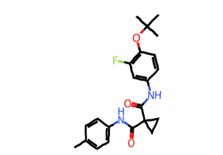 Cc1ccc(NC(=O)C2(C(=O)Nc3ccc(OC(C)(C)C)c(F)c3)CC2)cc1